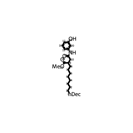 CCCCCCCCCCCCCCCCCCC(CC(=O)Nc1cccc(O)c1)C(=O)OC